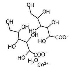 O.O=C([O-])C(O)C(O)C(O)C(O)CO.O=C([O-])C(O)C(O)C(O)C(O)CO.[Co+2]